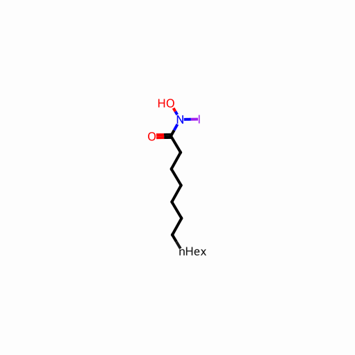 CCCCCCCCCCCCC(=O)N(O)I